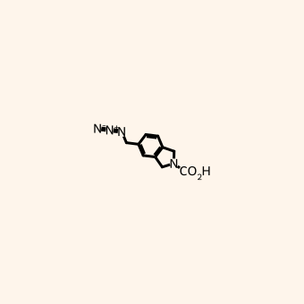 [N-]=[N+]=NCc1ccc2c(c1)CN(C(=O)O)C2